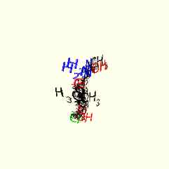 C/C(N)=C(\CO)N(N)CCCOc1ccc(C(C)(C)c2ccc(OC[C@@H](O)CCl)cc2)cc1